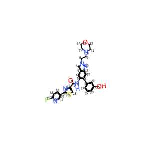 O=C(Nc1cc2cn(CCN3CCOCC3)nc2cc1-c1cccc(O)c1)c1csc(-c2ccc(F)nc2)n1